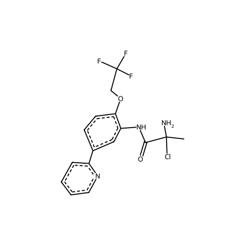 CC(N)(Cl)C(=O)Nc1cc(-c2ccccn2)ccc1OCC(F)(F)F